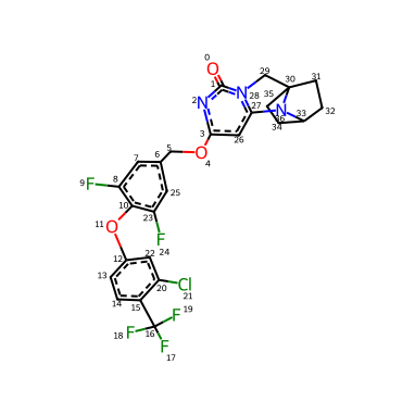 O=c1nc(OCc2cc(F)c(Oc3ccc(C(F)(F)F)c(Cl)c3)c(F)c2)cc2n1CC13CCC(CC1)N23